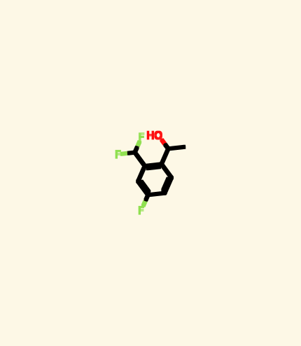 CC(O)c1ccc(F)cc1C(F)F